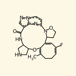 C\C1=C2/OC3CNCC3NC(=O)c3cnn4ccc(nc34)N3OCCC3/C2=C/C(F)=C\CC1